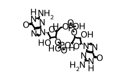 Nc1nc2c(ncn2[C@@H]2O[C@@H]3OP(=O)(O)OC4C(O)[C@H](n5cnc6c(=O)[nH]c(N)nc65)O[C@@H]4COP(=O)(O)OC3C2O)c(=O)[nH]1